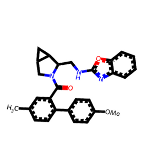 COc1ccc(-c2ccc(C)cc2C(=O)N2CC3CC3C2CNc2nc3ccccc3o2)cc1